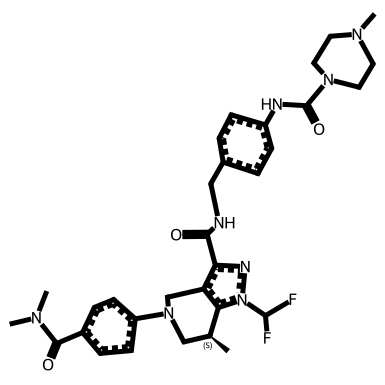 C[C@H]1CN(c2ccc(C(=O)N(C)C)cc2)Cc2c(C(=O)NCc3ccc(NC(=O)N4CCN(C)CC4)cc3)nn(C(F)F)c21